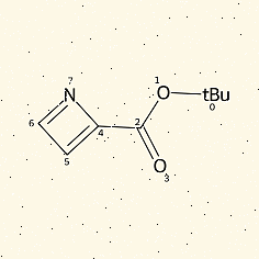 CC(C)(C)OC(=O)C1=CC=N1